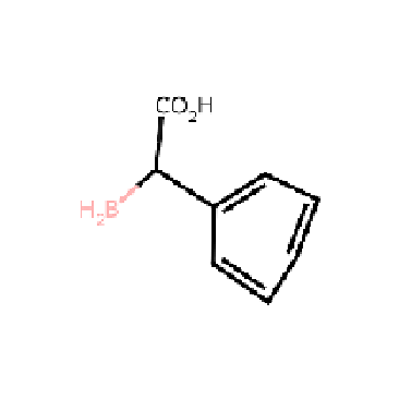 BC(C(=O)O)c1ccccc1